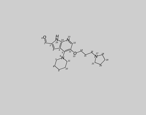 O=Cc1cc2c(N3CCCCC3)c(OCCCN3CCCC3)cnc2[nH]1